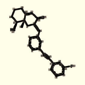 C[C@]12C/C(=C\c3cccc(C#Cc4cccc(F)c4)c3)C(=O)C=C1CCC[C@@H]2O